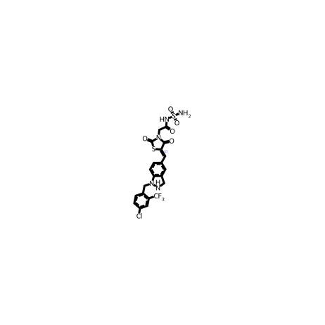 NS(=O)(=O)NC(=O)CN1C(=O)S/C(=C\c2ccc3c(c2)CNN3Cc2ccc(Cl)cc2C(F)(F)F)C1=O